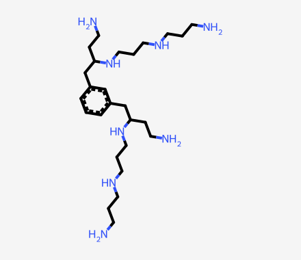 NCCCNCCCNC(CCN)Cc1cccc(CC(CCN)NCCCNCCCN)c1